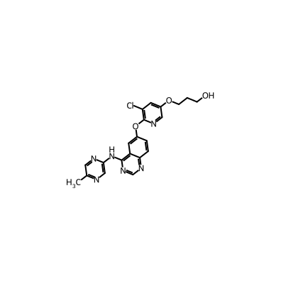 Cc1cnc(Nc2ncnc3ccc(Oc4ncc(OCCCO)cc4Cl)cc23)cn1